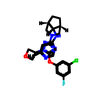 Cc1cc(N2C[C@H]3CC[C@@H](C2)[C@@H]3Nc2nc(Oc3cc(F)cc(Cl)c3)n(C3COC3)n2)ncn1